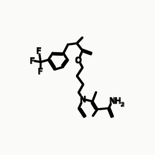 C=CN(CCCCOC(=C)C(C)Cc1cccc(C(F)(F)F)c1)/C(C)=C(\C)C(=C)N